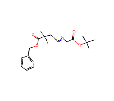 CC(C)(C)OC(=O)CN=CCC(C)(C)C(=O)OCc1ccccc1